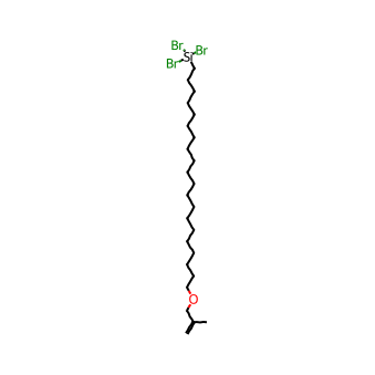 C=C(C)COCCCCCCCCCCCCCCCCCCCC[Si](Br)(Br)Br